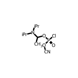 CC(C)N(C(C)C)C(C)OP(=O)(Cl)OC#N